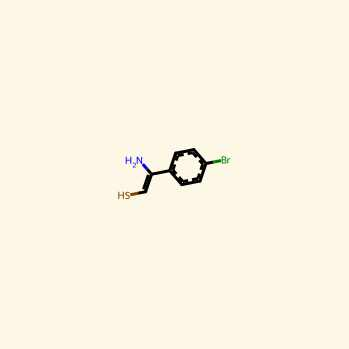 N/C(=C\S)c1ccc(Br)cc1